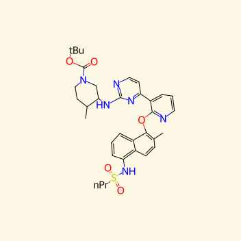 CCCS(=O)(=O)Nc1cccc2c(Oc3ncccc3-c3ccnc(NC4CN(C(=O)OC(C)(C)C)CCC4C)n3)c(C)ccc12